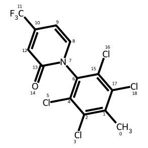 Cc1c(Cl)c(Cl)c(-n2ccc(C(F)(F)F)cc2=O)c(Cl)c1Cl